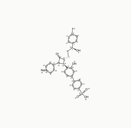 O=C1[C@H](CC[C@H](O)c2ccc(F)cc2)[C@@H](c2ccc(-c3ccc(S(=O)(=O)O)cc3)cc2O)N1c1ccccc1.[NaH]